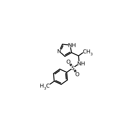 Cc1ccc(S(=O)(=O)NC(C)c2cnc[nH]2)cc1